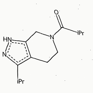 CC(C)C(=O)N1CCc2c(C(C)C)n[nH]c2C1